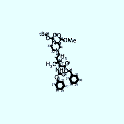 COC(=O)[C@H]1CN(CCC(C)(C)[C@H](NC(=O)Oc2ccccc2)C(=O)OCc2ccccc2)CCN1C(=O)OC(C)(C)C